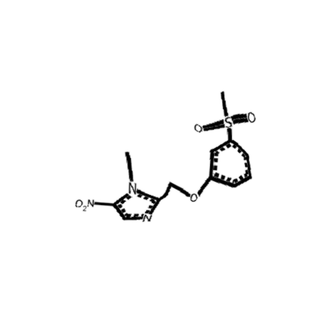 Cn1c([N+](=O)[O-])cnc1COc1cccc(S(C)(=O)=O)c1